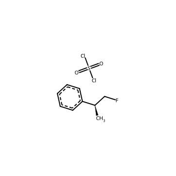 C[C@H](CF)c1ccccc1.O=S(=O)(Cl)Cl